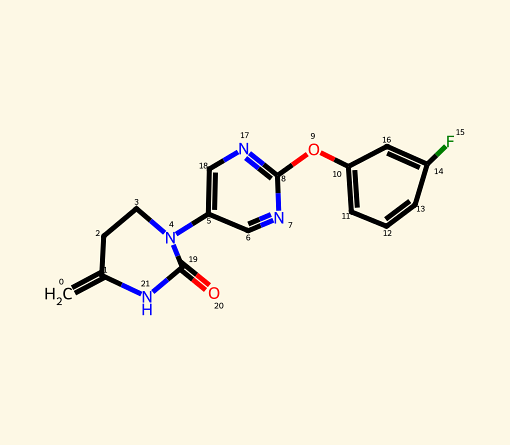 C=C1CCN(c2cnc(Oc3cccc(F)c3)nc2)C(=O)N1